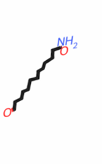 NC(=O)CCCCCCCCCCCC=O